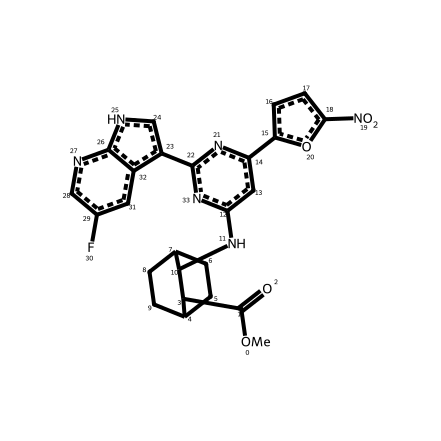 COC(=O)C1C2CCC(CC2)C1Nc1cc(-c2ccc([N+](=O)[O-])o2)nc(-c2c[nH]c3ncc(F)cc23)n1